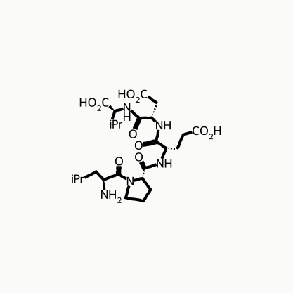 CC(C)C[C@H](N)C(=O)N1CCC[C@H]1C(=O)N[C@@H](CCC(=O)O)C(=O)N[C@@H](CC(=O)O)C(=O)N[C@H](C(=O)O)C(C)C